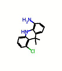 CC1(C)c2cccc(N)c2Nc2cccc(Cl)c21